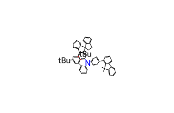 CC(C)(C)c1cc(-c2ccccc2N(c2ccc(-c3cccc4c3C(C)(C)c3ccccc3-4)cc2)c2ccc3c(c2)C2(CCc4ccccc42)c2ccccc2-3)cc(C(C)(C)C)c1